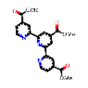 COC(=O)c1ccnc(-c2cc(C(=O)OC)cc(-c3cc(C(=O)OC)ccn3)n2)c1